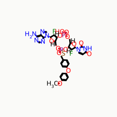 COc1ccc(Oc2ccc(CSP3(=O)OC[C@H]4O[C@@H](n5cnc6c(N)ncnc65)[C@H](F)[C@@H]4OP(=O)(O)OC[C@H]4O[C@@H](n5ccc(=O)[nH]c5=O)[C@H](F)[C@@H]4O3)cc2)cc1